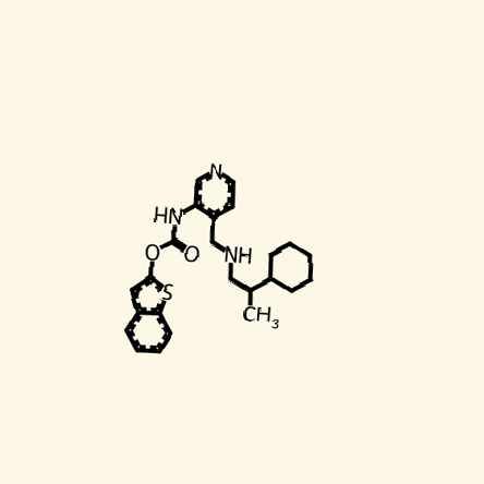 CC(CNCc1ccncc1NC(=O)Oc1cc2ccccc2s1)C1CCCCC1